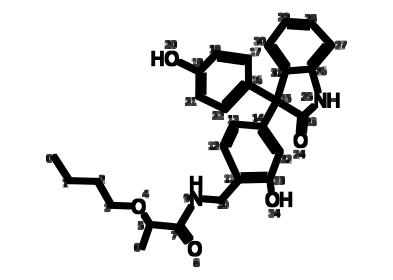 CCCCOC(C)C(=O)NCc1ccc(C2(c3ccc(O)cc3)C(=O)Nc3ccccc32)cc1O